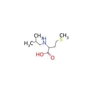 CSCCC(NCC(C)C)C(=O)O